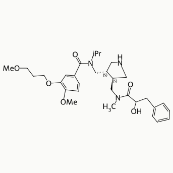 COCCCOc1cc(C(=O)N(C[C@@H]2CNC[C@H]2CN(C)C(=O)C(O)Cc2ccccc2)C(C)C)ccc1OC